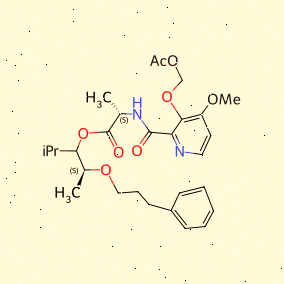 COc1ccnc(C(=O)N[C@@H](C)C(=O)OC(C(C)C)[C@H](C)OCCCc2ccccc2)c1OCOC(C)=O